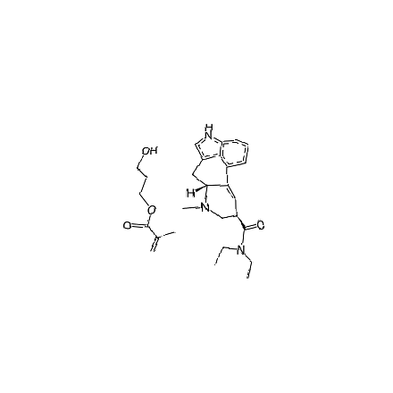 C=C(C)C(=O)OCCCO.CCN(CC)C(=O)[C@@H]1C=C2c3cccc4[nH]cc(c34)C[C@H]2N(C)C1